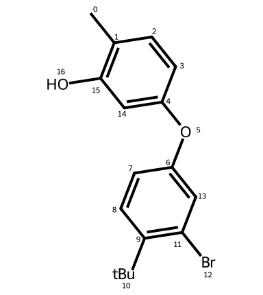 Cc1ccc(Oc2ccc(C(C)(C)C)c(Br)c2)cc1O